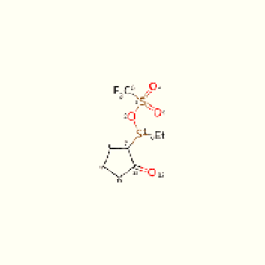 CC[S+](OS(=O)(=O)C(F)(F)F)C1CCCC1=O